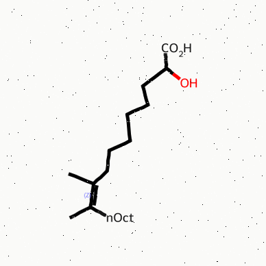 CCCCCCCC/C(C)=C(/C)CCCCCCC(O)C(=O)O